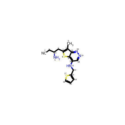 Cc1c(C[C@@H](N)CC#N)sc2c(NCc3cccs3)cnnc12